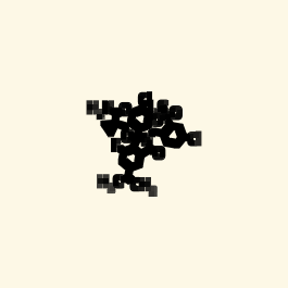 C=C(C)c1cc(F)c2c(c1)C(=O)N(Cc1ccc(Cl)cc1S(C)(=O)=O)C2(OCC1(C(N)=O)CC1)c1ccc(Cl)cc1